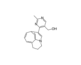 Cc1ncc(CO)c(C2=CN3CCCC4=CC=CC2=C=C43)n1